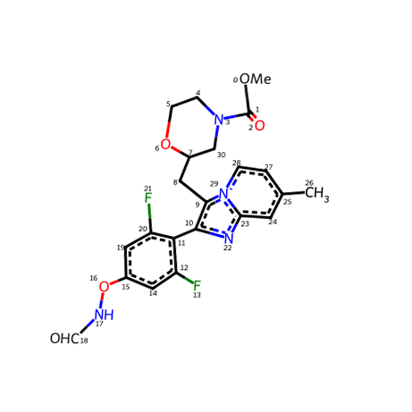 COC(=O)N1CCOC(Cc2c(-c3c(F)cc(ONC=O)cc3F)nc3cc(C)ccn23)C1